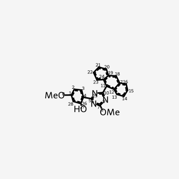 COc1ccc(-c2nc(OC)nc(-c3c4ccccc4cc4ccccc34)n2)c(O)c1